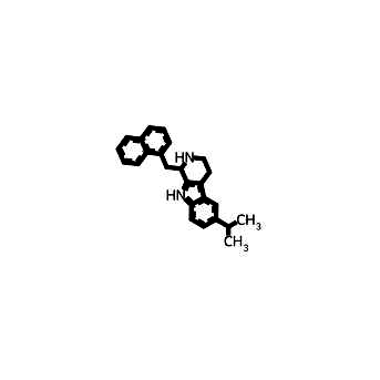 CC(C)c1ccc2[nH]c3c(c2c1)CCNC3Cc1cccc2ccccc12